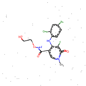 Cn1cc(C(=O)NOCCO)c(Nc2ccc(Br)cc2Cl)c(F)c1=O